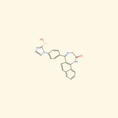 O=C1CN=C(c2ccc(-n3ccnc3BO)cc2)c2ccc3ccccc3c2N1